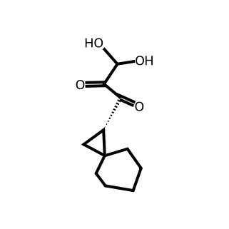 O=C(C(=O)[C@H]1CC12CCCCC2)C(O)O